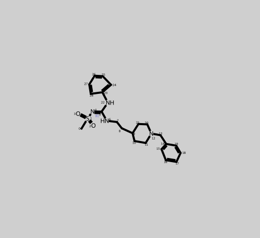 CS(=O)(=O)/N=C(\NCCC1CCN(Cc2ccccc2)CC1)Nc1ccccc1